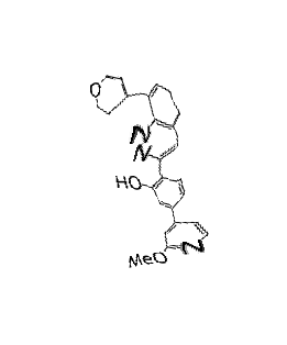 COc1cc(-c2ccc(-c3cc4c(nn3)C(C3CCOCC3)=CCC4)c(O)c2)ccn1